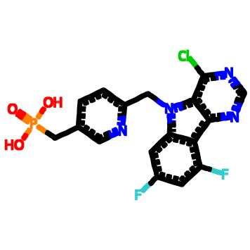 O=P(O)(O)Cc1ccc(Cn2c3cc(F)cc(F)c3c3ncnc(Cl)c32)nc1